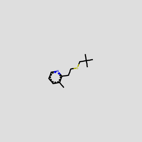 Cc1cccnc1CCSCC(C)(C)C